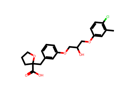 Cc1cc(OCC(O)COc2cccc(CC3(C(=O)O)CCCO3)c2)ccc1Cl